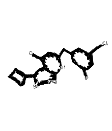 O=c1cc(Cc2cc(F)cc(Cl)c2)[nH]c2n[nH]c(C3=CC=C3)c12